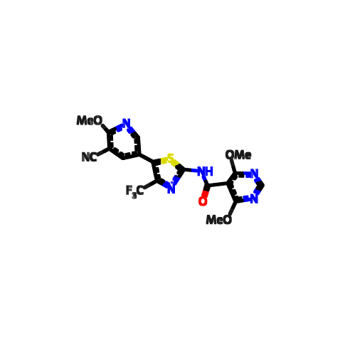 COc1ncc(-c2sc(NC(=O)c3c(OC)ncnc3OC)nc2C(F)(F)F)cc1C#N